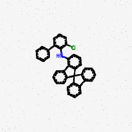 Clc1cccc(-c2ccccc2)c1Nc1cccc2c1-c1ccccc1C21c2ccccc2-c2ccccc21